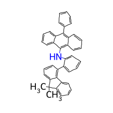 CC1(C)c2ccccc2-c2c(-c3ccccc3Nc3c4ccccc4c(-c4ccccc4)c4ccccc34)cccc21